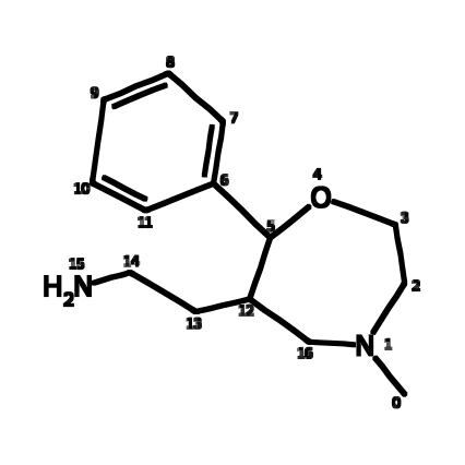 CN1CCOC(c2ccccc2)C(CCN)C1